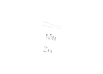 C=C.[Mn].[Zn]